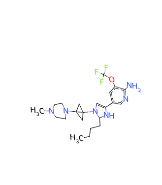 CCCCC1NC(c2cnc(N)c(OC(F)(F)F)c2)=CN1C12CC1(N1CCN(C)CC1)C2